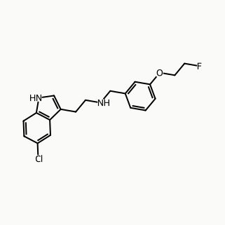 FCCOc1cccc(CNCCc2c[nH]c3ccc(Cl)cc23)c1